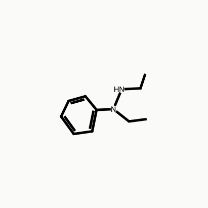 CCNN(CC)c1ccccc1